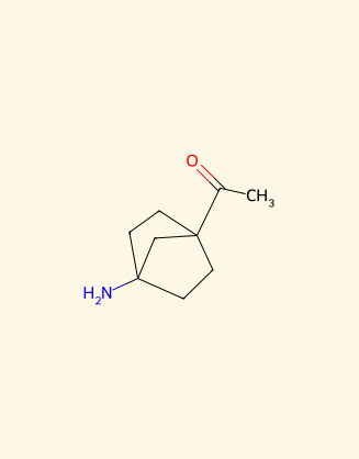 CC(=O)C12CCC(N)(CC1)C2